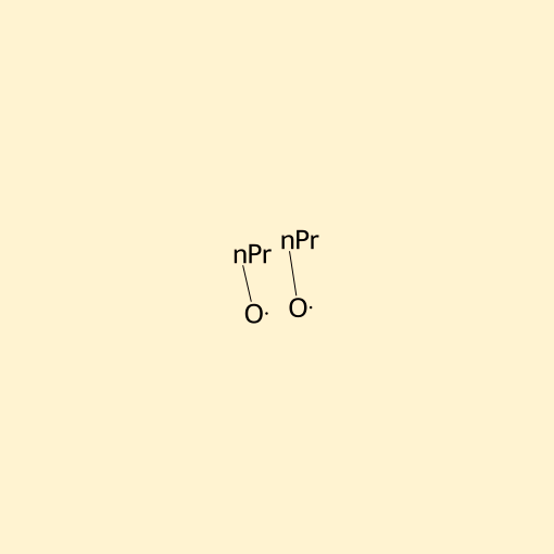 CCC[O].CCC[O]